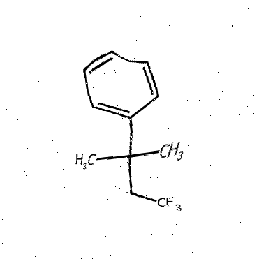 CC(C)([CH]C(F)(F)F)c1ccccc1